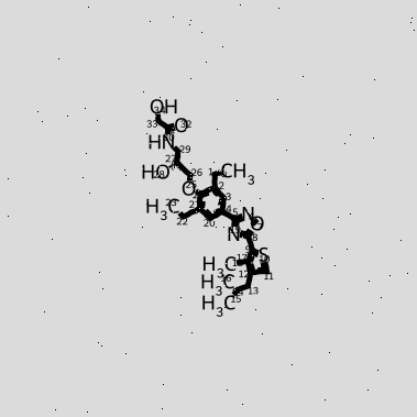 CCc1cc(-c2noc(-c3scc(CC(C)C)c3C)n2)cc(CC)c1OC[C@H](O)CNC(=O)CO